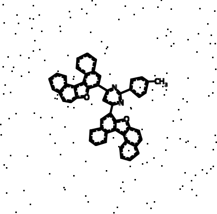 Cc1ccc(-c2nc(-c3cc4ccccc4c4c3oc3ccc5ccccc5c34)cc(-c3cc4ccccc4c4c3oc3ccc5ccccc5c34)n2)cc1